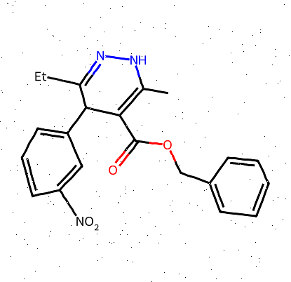 CCC1=NNC(C)=C(C(=O)OCc2ccccc2)C1c1cccc([N+](=O)[O-])c1